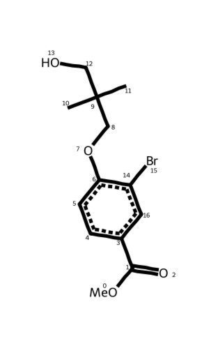 COC(=O)c1ccc(OCC(C)(C)CO)c(Br)c1